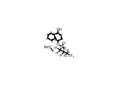 CSC.O=S(=O)(Oc1ccc(O)c2ccccc12)C(F)(F)C(F)(F)C(F)(F)C(F)(F)F